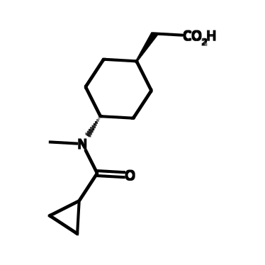 CN(C(=O)C1CC1)[C@H]1CC[C@H](CC(=O)O)CC1